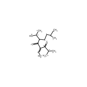 CC(C)CCC(C(=O)/C(=C/O)C(=O)C(C)C)C(C)O